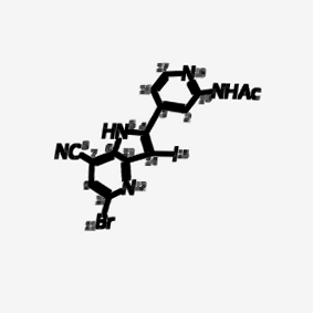 CC(=O)Nc1cc(-c2[nH]c3c(C#N)cc(Br)nc3c2I)ccn1